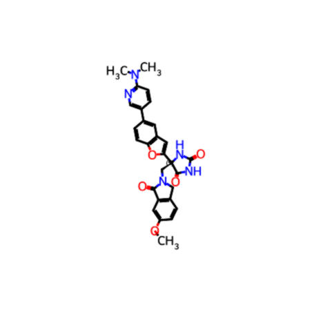 COc1ccc2c(c1)C(=O)N(C[C@@]1(c3cc4cc(-c5ccc(N(C)C)nc5)ccc4o3)NC(=O)NC1=O)C2